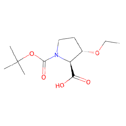 CCO[C@H]1CCN(C(=O)OC(C)(C)C)[C@@H]1C(=O)O